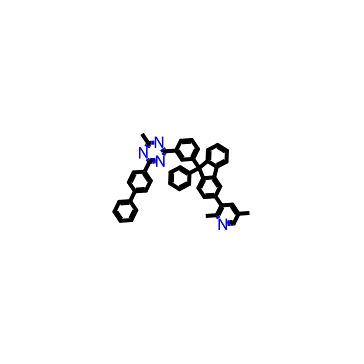 Cc1cnc(C)c(-c2ccc3c(c2)-c2ccccc2C3(c2ccccc2)c2cccc(-c3nc(C)nc(-c4ccc(-c5ccccc5)cc4)n3)c2)c1